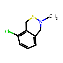 CN1Cc2cccc(Cl)c2CS1